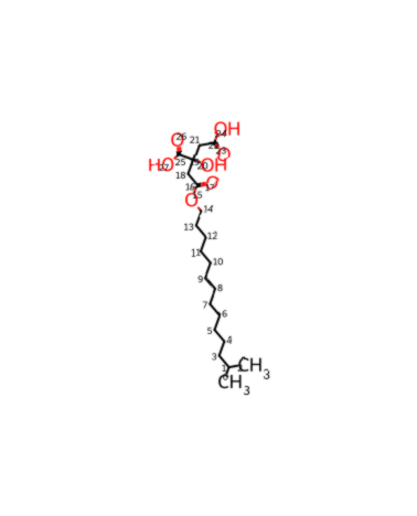 CC(C)CCCCCCCCCCCCOC(=O)CC(O)(CC(=O)O)C(=O)O